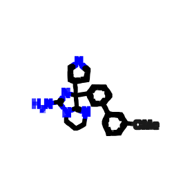 COc1cccc(-c2cccc(C3(c4ccncc4)N=C(N)N4CCCN=C43)c2)c1